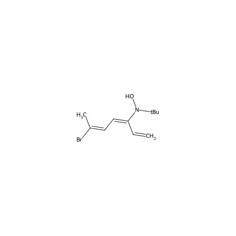 C=C/C(=C\C=C(/C)Br)N(O)C(C)(C)C